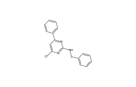 Clc1cc(-c2ccccc2)nc(NSc2ccccc2)n1